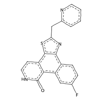 O=c1[nH]ccc2c3sc(Cc4ccccn4)nc3c3ccc(F)cc3c12